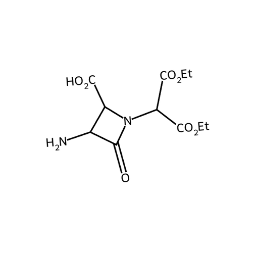 CCOC(=O)C(C(=O)OCC)N1C(=O)C(N)C1C(=O)O